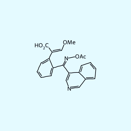 COC=C(C(=O)O)c1ccccc1C(=NOC(C)=O)c1cncc2ccccc12